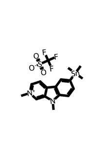 Cn1c2cc[c]([Sn]([CH3])([CH3])[CH3])cc2c2cc[n+](C)cc21.O=S(=O)([O-])C(F)(F)F